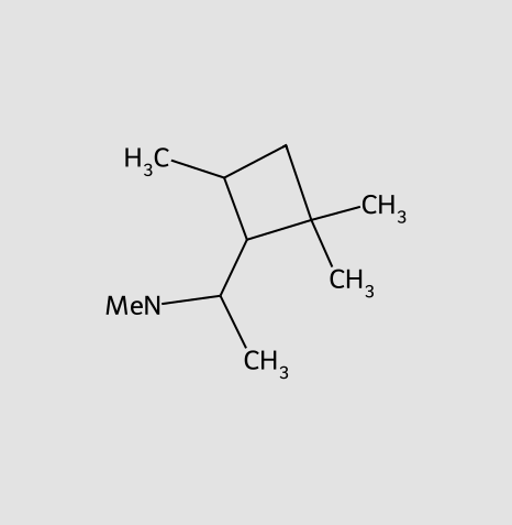 CNC(C)C1C(C)CC1(C)C